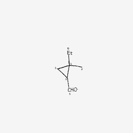 CCC1(C)CC1[C]=O